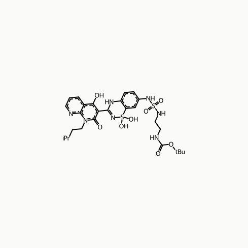 CC(C)CCn1c(=O)c(C2=NS(O)(O)c3cc(NS(=O)(=O)NCCNC(=O)OC(C)(C)C)ccc3N2)c(O)c2cccnc21